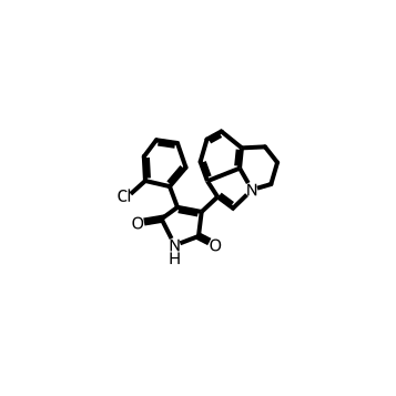 O=C1NC(=O)C(c2cn3c4c(cccc24)CCC3)=C1c1ccccc1Cl